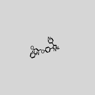 Cn1cc(-c2ccncc2)c(-c2ccc(OCc3cc(=O)n4ccccc4n3)cc2)n1